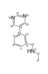 CCNCc1cccc(-c2cncnc2)c1